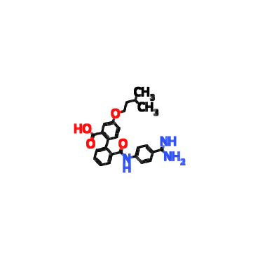 CC(C)CCOc1ccc(-c2ccccc2C(=O)Nc2ccc(C(=N)N)cc2)c(C(=O)O)c1